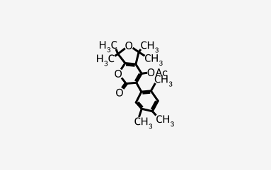 CC(=O)Oc1c2c(oc(=O)c1-c1cc(C)c(C)cc1C)C(C)(C)OC2(C)C